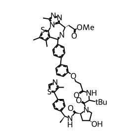 COC(=O)C[C@@H]1N=C(c2ccc(-c3cccc(OCCC(=O)NC(C(=O)N4C[C@H](O)C[C@H]4C(=O)N[C@@H](C)c4ccc(-c5scnc5C)cc4)C(C)(C)C)c3)cc2)c2c(sc(C)c2C)-n2c(C)nnc21